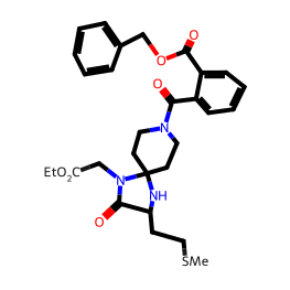 CCOC(=O)CN1C(=O)C(CCSC)NC12CCN(C(=O)c1ccccc1C(=O)OCc1ccccc1)CC2